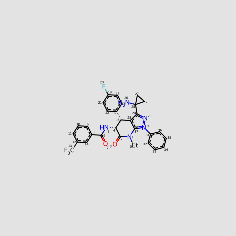 CCN1C(=O)[C@H](NC(=O)c2cccc(C(F)(F)F)c2)[C@H](c2ccc(F)cc2)c2c(C3(N)CC3)nn(-c3ccccc3)c21